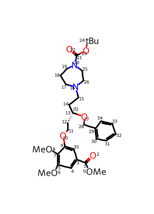 COC(=O)c1cc(OC)c(OC)c(OCC[C@H](CCN2CCCN(C(=O)OC(C)(C)C)CC2)OCc2ccccc2)c1